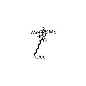 CCCCCCCCCCCCCCCCCC(=O)NOP(=O)(OC)OC